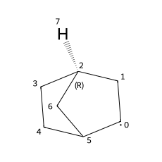 [CH]1C[C@@H]2CCC1C2